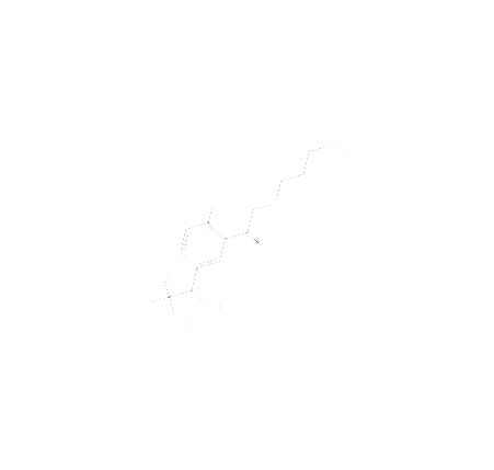 CCCCOC[C@@H](C)c1cc(C(O)C(C)(C)F)ccc1Cl